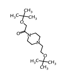 CC(C)(C)OCCN1CCN(C(=O)COC(C)(C)C)CC1